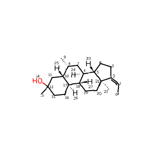 C/C=C1/CC[C@H]2[C@@H]3C[C@@H](C)[C@H]4CC(C)(O)CC[C@@H]4[C@H]3CC[C@]12C